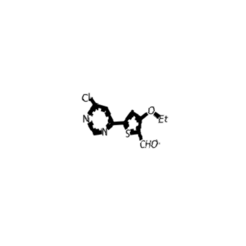 CCOc1cc(-c2cc(Cl)ncn2)sc1[C]=O